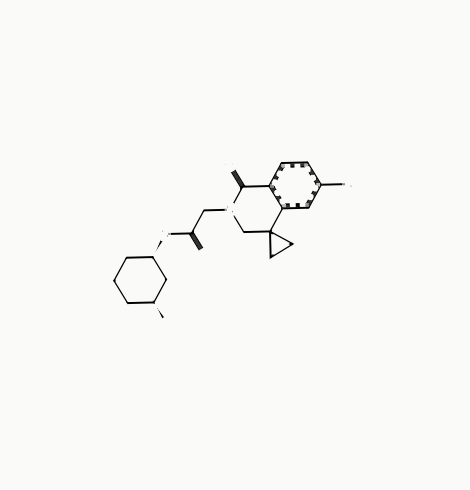 O=C(CN1CC2(CC2)c2cc(Br)ccc2C1=O)N[C@@H]1CCC[C@H](O)C1